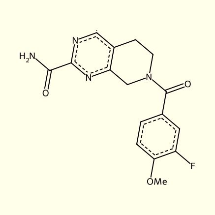 COc1ccc(C(=O)N2CCc3[c]nc(C(N)=O)nc3C2)cc1F